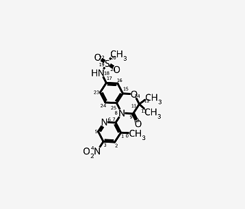 Cc1cc([N+](=O)[O-])cnc1N1C(=O)C(C)(C)Oc2cc(NS(C)(=O)=O)ccc21